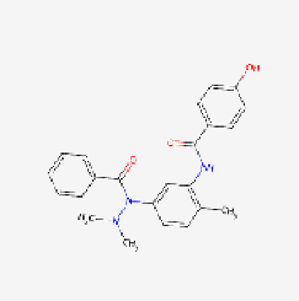 Cc1ccc(N(C(=O)c2ccccc2)N(C)C)cc1NC(=O)c1ccc(O)cc1